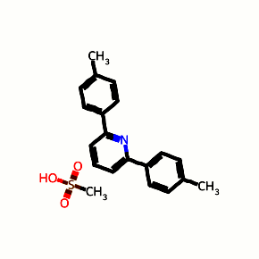 CS(=O)(=O)O.Cc1ccc(-c2cccc(-c3ccc(C)cc3)n2)cc1